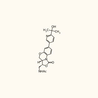 CC(=O)NC[C@@H]1OC(=O)N2c3ccc(-c4ccc(C(C)(C)O)nc4)cc3OC[C@@H]12